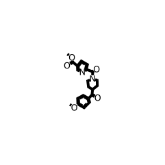 COC(=O)c1ccc(C(=O)N2CCC(C(=O)c3ccc(OC)cc3)CC2)nc1